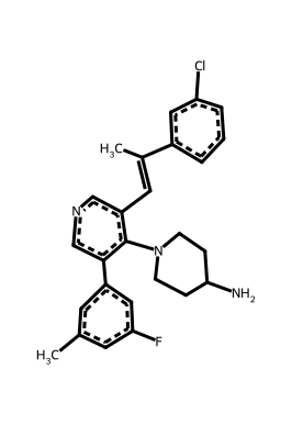 CC(=Cc1cncc(-c2cc(C)cc(F)c2)c1N1CCC(N)CC1)c1cccc(Cl)c1